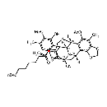 C=CCN1C2c3c(cc(C)c(OC)c3O)CC1[C@H](C#N)N1[C@H]2[C@@H]2SCC(NC(=O)CCCCCCCCCCCCCCC)C(=O)OC[C@H]1c1c3c(c(C)c(OC(C)=O)c12)OCO3